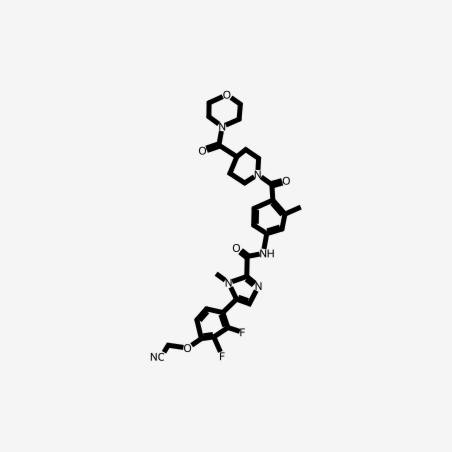 Cc1cc(NC(=O)c2ncc(-c3ccc(OCC#N)c(F)c3F)n2C)ccc1C(=O)N1CCC(C(=O)N2CCOCC2)CC1